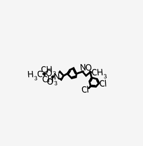 CC(C)(C)OC(=O)N1CC(c2ccc(C3=NOC(C)(c4cc(Cl)cc(Cl)c4)C3)cc2)C1